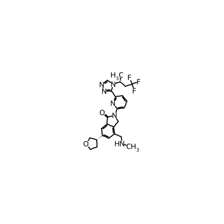 CNCc1cc([C@@H]2CCOC2)cc2c1CN(c1cccc(-c3nncn3[C@@H](C)CC(F)(F)F)n1)C2=O